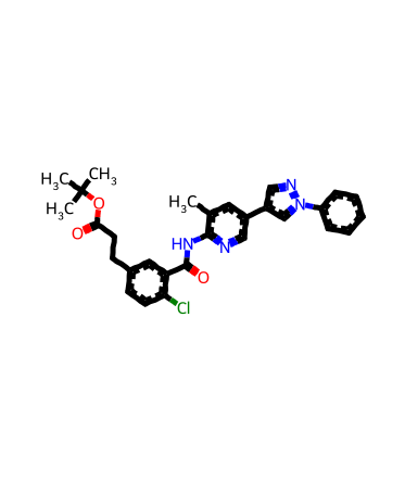 Cc1cc(-c2cnn(-c3ccccc3)c2)cnc1NC(=O)c1cc(CCC(=O)OC(C)(C)C)ccc1Cl